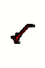 COCCOCCOCCOCCOCCOCCOCCNC(=O)Nc1ccc(C[C@H](NC(=O)OC(C)(C)C)C(=O)Nc2ccc(C(=O)OC(C)(C)C)cc2)cc1